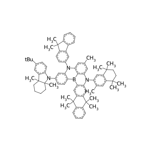 Cc1cc2c3c(c1)N(c1cc4c(cc1C)C(C)(C)CCC4(C)C)c1cc4c(cc1B3c1ccc(N3c5ccc(C(C)(C)C)cc5C5(C)CCCCC35C)cc1N2c1ccc2c(c1)-c1ccccc1C2(C)C)C(C)(C)c1ccccc1C4(C)C